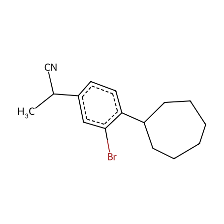 CC(C#N)c1ccc(C2CCCCCC2)c(Br)c1